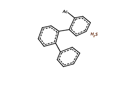 CC(=O)c1ccccc1-c1ccccc1-c1ccccc1.S